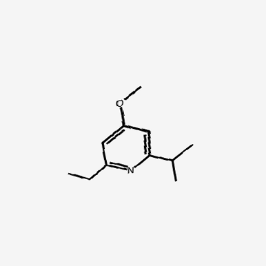 CCc1cc(OC)cc(C(C)C)n1